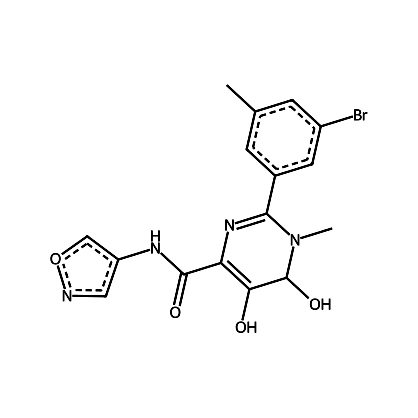 Cc1cc(Br)cc(C2=NC(C(=O)Nc3cnoc3)=C(O)C(O)N2C)c1